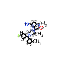 Cc1cccc(C(c2ccc(F)cc2)N2C[C@H](C)N(c3cc(=O)n(C)c4ccc(C#N)nc34)CC2C)c1